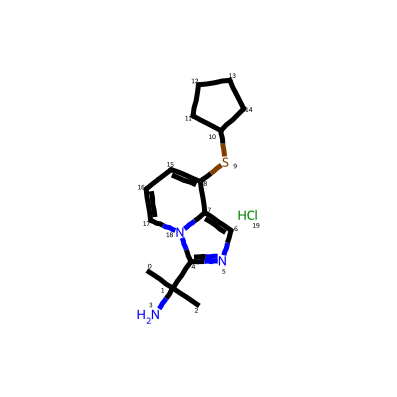 CC(C)(N)c1ncc2c(SC3CCCC3)cccn12.Cl